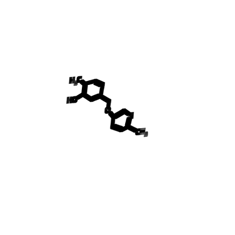 Cc1ccc(OCc2ccc(C)c(O)c2)cn1